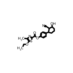 CCOc1sc(C(=O)Oc2ccc(C3CCCC(O)C3C#N)cc2)nc1C